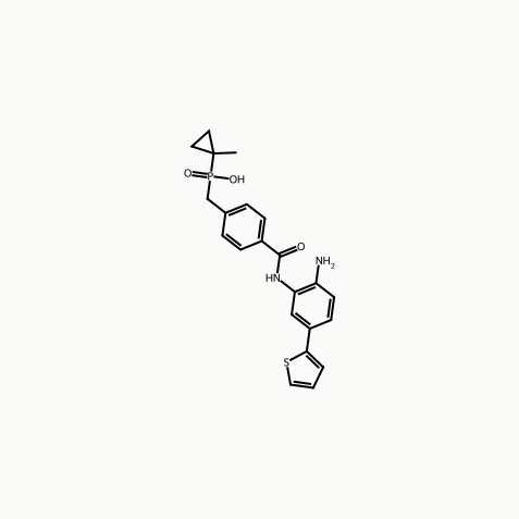 CC1(P(=O)(O)Cc2ccc(C(=O)Nc3cc(-c4cccs4)ccc3N)cc2)CC1